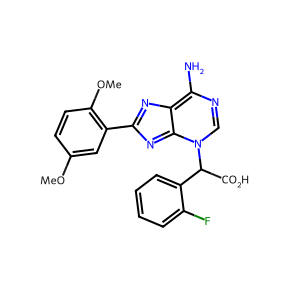 COc1ccc(OC)c(-c2nc3c(N)ncn(C(C(=O)O)c4ccccc4F)c-3n2)c1